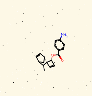 C[C@H]1C2C=CC(C2)[C@]12C=C[C@H]2OC(=O)c1ccc(N)cc1